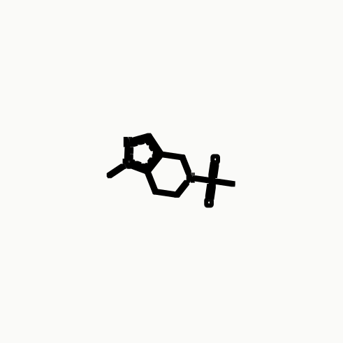 Cn1ncc2c1CCN(S(C)(=O)=O)C2